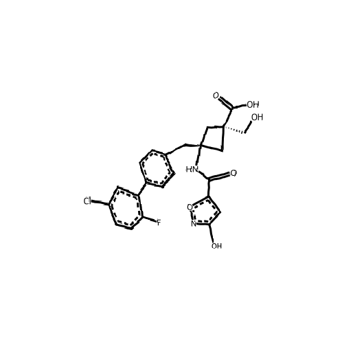 O=C(N[C@]1(Cc2ccc(-c3cc(Cl)ccc3F)cc2)C[C@@](CO)(C(=O)O)C1)c1cc(O)no1